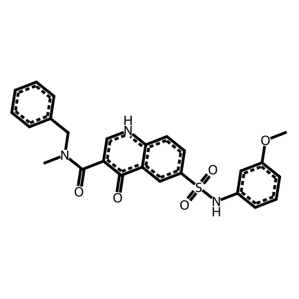 COc1cccc(NS(=O)(=O)c2ccc3[nH]cc(C(=O)N(C)Cc4ccccc4)c(=O)c3c2)c1